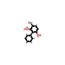 CCc1ccc(O)c(-c2ccccc2)c1O